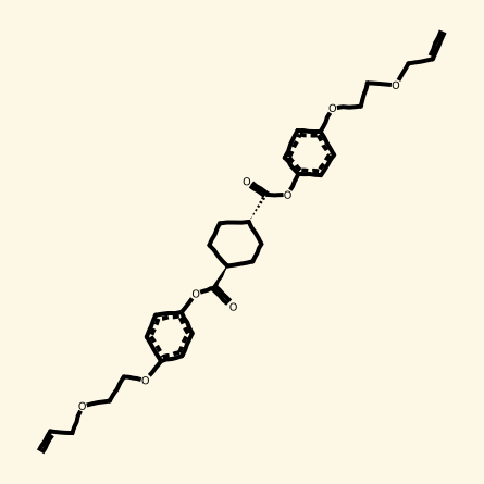 C=CCOCCOc1ccc(OC(=O)[C@H]2CC[C@H](C(=O)Oc3ccc(OCCOCC=C)cc3)CC2)cc1